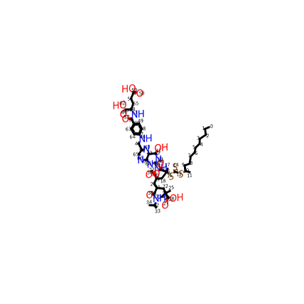 CCCCCCCCCCC(C)SC(=S)SC(C)(CC(CC(CC(C)(C)C(=O)O)C(=O)NC(C)C)C(=O)NC1=NC(O)C2N=C(CNc3ccc(C(=O)NC(CCC(=O)O)C(=O)O)cc3)C=NC2=N1)C(=O)OC